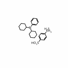 Cc1ccc(S(=O)(=O)O)cc1.S.c1cc[c]([Bi]([CH]2CCCCC2)[CH]2CCCCC2)cc1